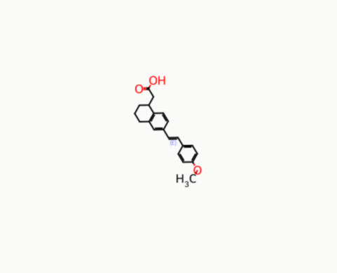 COc1ccc(/C=C/c2ccc3c(c2)CCCC3CC(=O)O)cc1